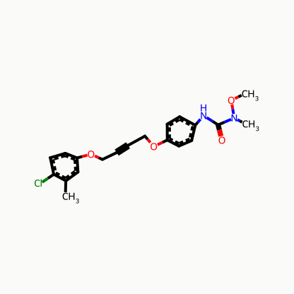 CON(C)C(=O)Nc1ccc(OCC#CCOc2ccc(Cl)c(C)c2)cc1